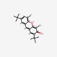 CC(C)(C)c1cc(I)c2oc3c(I)c(=O)c(C(C)(C)C)cc-3cc2c1